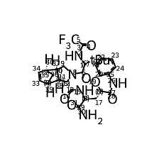 CC(C)(C)[C@H](NC(=O)C(F)(F)F)C(=O)N1C[C@H]2[C@@H]([C@H]1C(=O)N[C@@H](C[C@@H]1Oc3ccccc3NC1=O)C(N)=O)[C@H]1C=C[C@@H]2C1